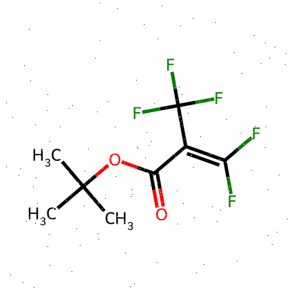 CC(C)(C)OC(=O)C(=C(F)F)C(F)(F)F